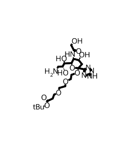 CC(C)(C)OC(=O)CCOCCOCCO[C@]1(c2nn[nH]n2)C[C@H](O)[C@@H](NC(=O)CO)[C@H]([C@H](O)[C@H](O)CN)O1